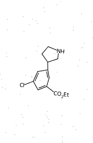 CCOC(=O)c1cc(Cl)cc(C2CCNC2)c1